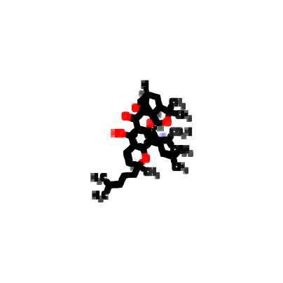 CC(C)=CCC[C@]1(C)C=Cc2c(O)c3c(c(CC=C(C)C)c2O1)O[C@]12C(=C[C@@H]4CC1C(C)(C)O[C@@]2(C/C=C(/C)C(=O)O)C4=O)C3=O